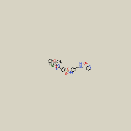 CC(C)(Oc1ccccc1Cl)c1nc(-c2ccc(S(=O)(=O)Nc3ccc(CCNCC(O)c4cccnc4)cc3)cc2)no1